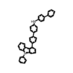 c1ccc(-c2ccc(Nc3ccc(-c4ccc(-c5cccc6c5c5ccccc5n6-c5ccccc5)cc4)cc3)cc2)cc1